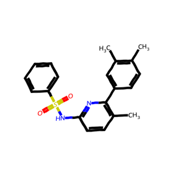 Cc1ccc(-c2nc(NS(=O)(=O)c3ccccc3)ccc2C)cc1C